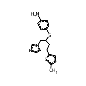 Cc1ccc(CCC(Cn2ccnc2)Sc2ccc(N)cc2)s1